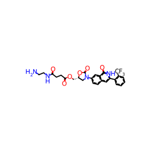 NCCNC(=O)CCC(=O)OC[C@H]1CN(c2ccc3cc(-c4ccccc4C(F)(F)F)[nH]c(=O)c3c2)C(=O)O1